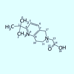 CC(C)(C)c1ccc2c(n1)CCN(CC(=O)O)C2